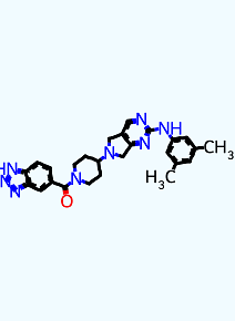 Cc1cc(C)cc(Nc2ncc3c(n2)CN(C2CCN(C(=O)c4ccc5[nH]nnc5c4)CC2)C3)c1